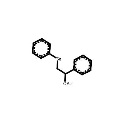 CC(=O)OC(C[Se]c1ccccc1)c1ccccc1